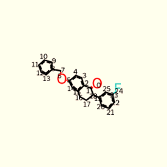 O=C1c2ccc(OCc3ccccc3)cc2CCC1c1cccc(F)c1